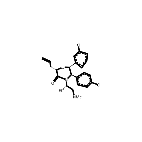 C=CC[C@@H]1O[C@H](c2cccc(Cl)c2)[C@@H](c2ccc(Cl)cc2)N([C@@H](CC)CNC)C1=O